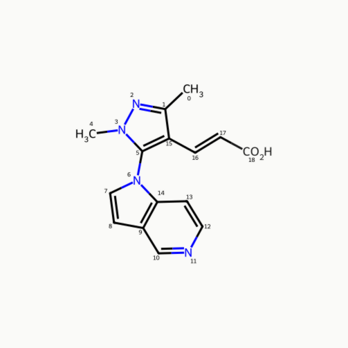 Cc1nn(C)c(-n2ccc3cnccc32)c1C=CC(=O)O